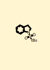 CC(C)(C)S(=O)(=O)N1CCc2ccccc21